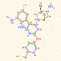 CNc1cc(F)cc2c1[nH]c1nc(Oc3cnc(CF)nc3)nc(N3C[C@H]4CC3C[C@H]4N)c12